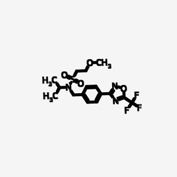 COCCS(=O)(=O)N(Cc1ccc(-c2noc(C(F)(F)F)n2)cc1)C(C)C